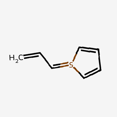 C=CC=S1C=CC=C1